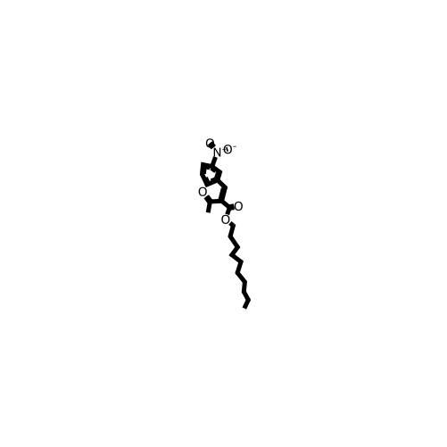 CCCCCCCCCCOC(=O)/C(=C/c1cccc([N+](=O)[O-])c1)C(C)=O